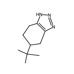 CC(C)(C)C1CCc2[nH]nnc2C1